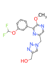 COc1ncc(Cn2cc(CO)nn2)nc1-c1cccc(OC(F)F)c1